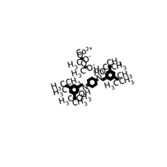 CC(=O)[O-].CC(=O)[O-].CC(C)(C)c1cc(C=NC2CCC(N=Cc3cc(C(C)(C)C)cc(C(C)(C)C)c3O)CC2)c(O)c(C(C)(C)C)c1.[Co+2]